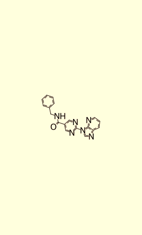 O=C(NCc1ccccc1)c1cnc(-n2cnc3cccnc32)nc1